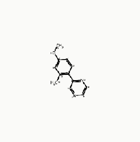 COc1ccc(-c2cnccn2)c(C)c1